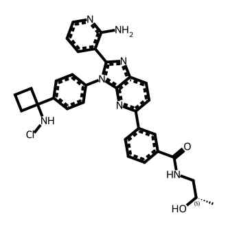 C[C@H](O)CNC(=O)c1cccc(-c2ccc3nc(-c4cccnc4N)n(-c4ccc(C5(NCl)CCC5)cc4)c3n2)c1